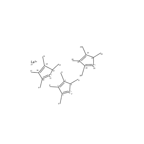 CC1=[C-]C(C)C(C)=C1C.CC1=[C-]C(C)C(C)=C1C.CC1=[C-]C(C)C(C)=C1C.[La+3]